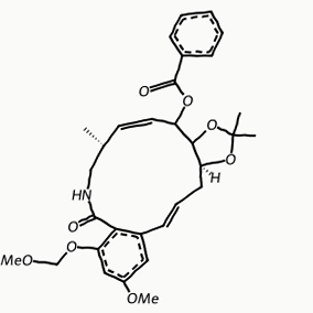 COCOc1cc(OC)cc2c1C(=O)NC[C@H](C)/C=C\C(OC(=O)c1ccccc1)C1OC(C)(C)O[C@H]1C/C=C/2